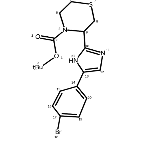 CC(C)(C)OC(=O)N1CCSCC1c1ncc(-c2ccc(Br)cc2)[nH]1